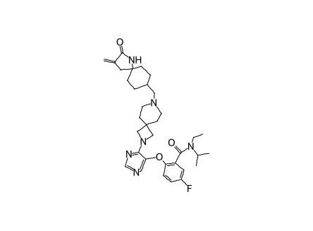 C=C1CC2(CCC(CN3CCC4(CC3)CN(c3ncncc3Oc3ccc(F)cc3C(=O)N(CC)C(C)C)C4)CC2)NC1=O